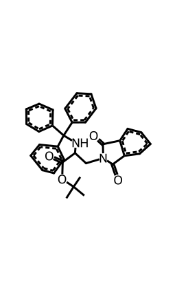 CC(C)(C)OC(=O)C(CN1C(=O)c2ccccc2C1=O)NC(c1ccccc1)(c1ccccc1)c1ccccc1